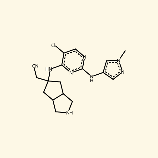 Cn1cc(Nc2ncc(Cl)c(NC3(CC#N)CC4CNCC4C3)n2)cn1